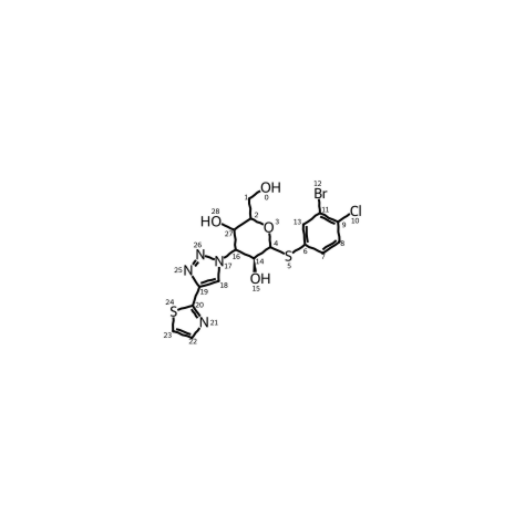 OCC1OC(Sc2ccc(Cl)c(Br)c2)[C@@H](O)C(n2cc(-c3nccs3)nn2)C1O